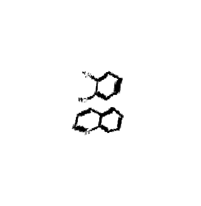 Nc1ccccc1O.c1ccc2ncccc2c1